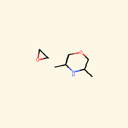 C1CO1.CC1COCC(C)N1